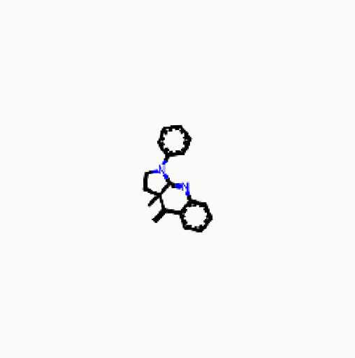 C=C1c2ccccc2N=C2N(c3ccccc3)CCC12C